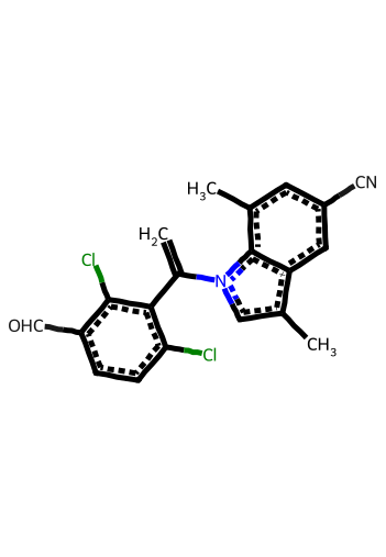 C=C(c1c(Cl)ccc(C=O)c1Cl)n1cc(C)c2cc(C#N)cc(C)c21